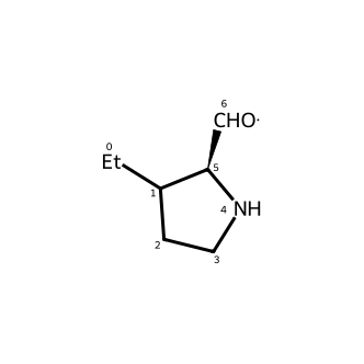 CCC1CCN[C@@H]1[C]=O